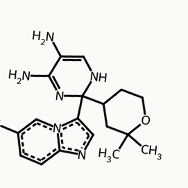 CC1(C)CC(C2(c3cnc4ccc(F)cn34)N=C(N)C(N)=CN2)CCO1